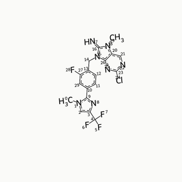 Cn1cc(C(F)(F)F)nc1-c1ccc(Cn2c(=N)n(C)c3cnc(Cl)nc32)c(F)c1